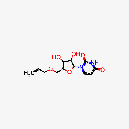 C=CCOC[C@@H]1O[C@H](n2ccc(=O)[nH]c2=O)C(O)C1O